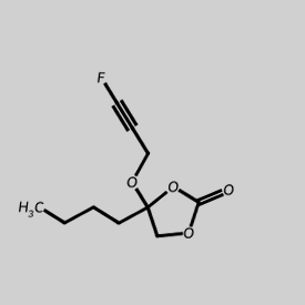 CCCCC1(OCC#CF)COC(=O)O1